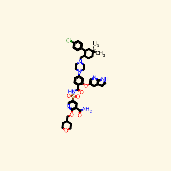 CC1(C)CCC(CN2CCN(c3ccc(C(=O)NS(=O)(=O)c4cnc(OCC5CCOCC5)c(C(N)=O)c4)c(Oc4cnc5[nH]ccc5c4)c3)CC2)=C(c2ccc(Cl)cc2)C1